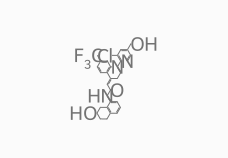 O=C(C=C1CCN(c2ncc(CO)cc2Cl)c2cc(C(F)(F)F)ccc21)Nc1cccc2c1CC(O)CC2